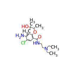 CCN(CC)CCNC(=O)c1cc(Cl)c(N)cc1OC(C)C(C)(C)O